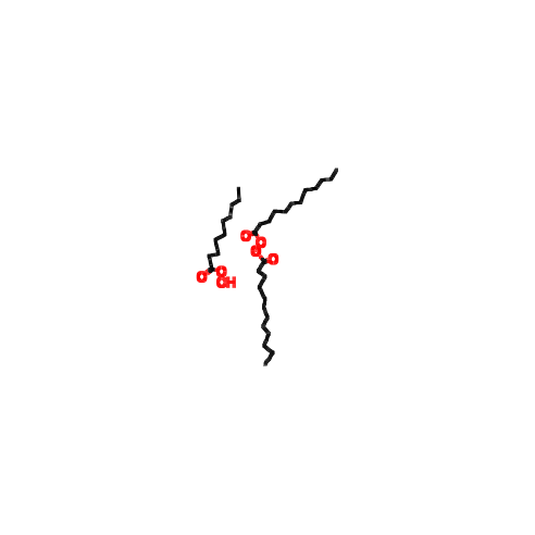 CCCCCCCCCC(=O)OO.CCCCCCCCCCCC(=O)OOC(=O)CCCCCCCCCCC